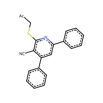 CC(=O)CSc1nc(-c2ccccc2)cc(-c2ccccc2)c1C#N